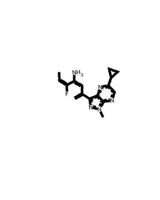 C=C(/C=C(N)\C(F)=C/C)c1nn(C)c2ncc(C3CC3)nc12